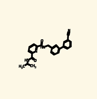 CC(C)NC(=O)c1cccc(C(=O)NCc2cccc(-c3cccc(C#N)c3)c2)n1